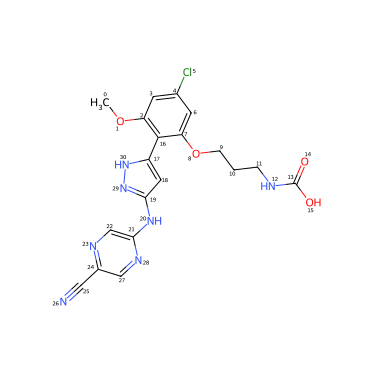 COc1cc(Cl)cc(OCCCNC(=O)O)c1-c1cc(Nc2cnc(C#N)cn2)n[nH]1